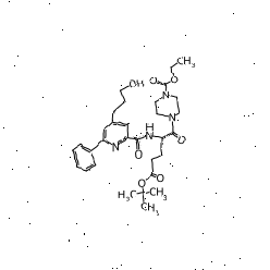 CCOC(=O)N1CCN(C(=O)C(CCC(=O)OC(C)(C)C)NC(=O)c2cc(CCCO)cc(-c3ccccc3)n2)CC1